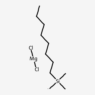 [CH2][Si](C)(C)CCCCCCCC.[Cl][Mg][Cl]